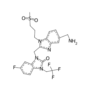 CS(=O)(=O)CCCn1c(Cn2c(=O)n(CC(F)(F)F)c3ccc(F)cc32)nc2cc(CN)ccc21